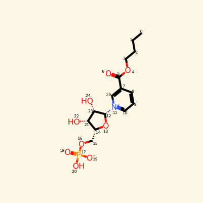 CCCCOC(=O)c1ccc[n+]([C@@H]2O[C@H](COP(=O)([O-])O)[C@H](O)[C@@H]2O)c1